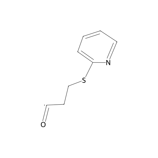 O=[C]CCSc1ccccn1